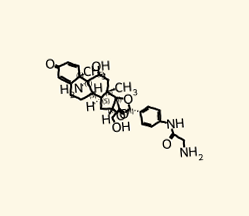 C[C@]12C=CC(=O)C=C1CC[C@H]1[C@@H]3C[C@H]4O[C@@H](c5ccc(NC(=O)CN)cc5)O[C@@]4(C(=O)CO)[C@@]3(C)C[C@H](O)[C@@]12N